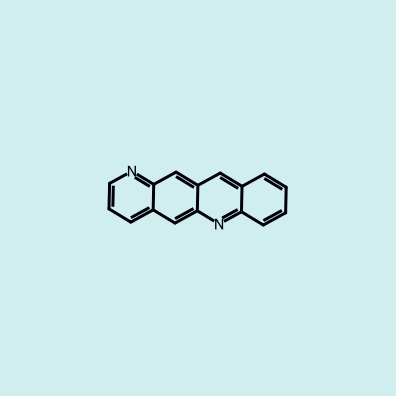 c1cnc2cc3cc4ccccc4nc3cc2c1